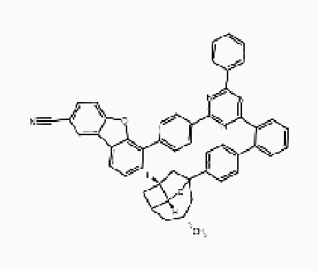 C[C@@H]1CC2C[C@@H]3CC(c4ccc(-c5ccccc5-c5nc(-c6ccccc6)nc(-c6ccc(-c7cccc8c7oc7ccc(C#N)cc78)cc6)n5)cc4)(C1)C[C@H]23